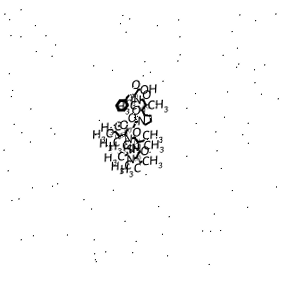 CC[C@H](C)[C@@H]([C@@H](CC(=O)N1CCCC1[C@H](OC)[C@@H](C)C(=O)N[C@H](Cc1ccccc1)C(=O)O)OC)N(C)C(=O)[C@@H](NC(=O)[C@H](C(C)C)N(C)C(C)S)C(C)C